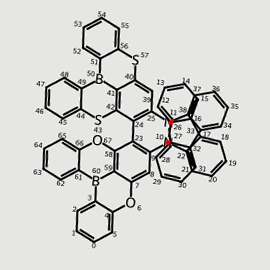 c1ccc2c(c1)Oc1cc(-n3c4ccccc4c4ccccc43)c(-c3c(-n4c5ccccc5c5ccccc54)cc4c5c3Sc3ccccc3B5c3ccccc3S4)c3c1B2c1ccccc1O3